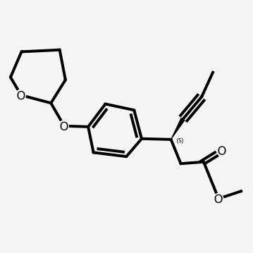 CC#C[C@@H](CC(=O)OC)c1ccc(OC2CCCCO2)cc1